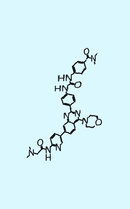 CN(C)CC(=O)Nc1ccc(-c2ccc3c(N4CCOCC4)nc(-c4ccc(NC(=O)Nc5ccc(C(=O)N(C)C)cc5)cc4)nc3c2)cn1